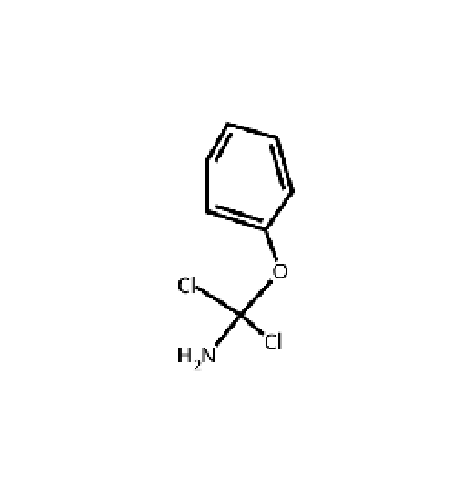 NC(Cl)(Cl)Oc1ccccc1